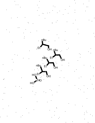 CCCCC(CC)CO.CCCCC(CC)CO.CCCCC(CC)CO.CCCCC(CC)CO.[O]=[Zr]([OH])[OH]